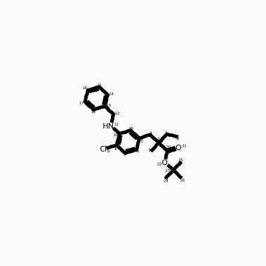 CCC(C)(Cc1ccc(Cl)c(NCc2ccccc2)c1)C(=O)OC(C)(C)C